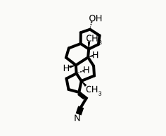 C[C@]12CC[C@@H](O)CC1CC[C@@H]1[C@@H]2CC[C@]2(C)C(=CC#N)CC[C@@H]12